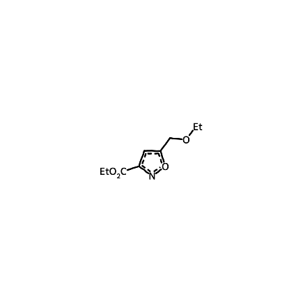 CCOCc1cc(C(=O)OCC)no1